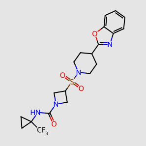 O=C(NC1(C(F)(F)F)CC1)N1CC(S(=O)(=O)N2CCC(c3nc4ccccc4o3)CC2)C1